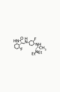 CCN(CC)CC(C)Nc1ccc(NC=C2C(=O)Nc3cccc(F)c32)cc1F